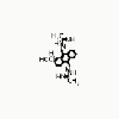 CC(=N)NN=Cc1c2ccccc2c(C=NNC(C)=N)c2ccccc12.Cl.Cl